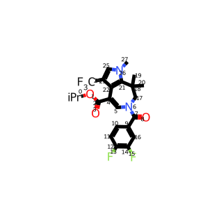 CC(C)OC(=O)C1=CN(C(=O)c2ccc(F)c(F)c2)CC(C)(C)c2c1c(C(F)(F)F)cn2C